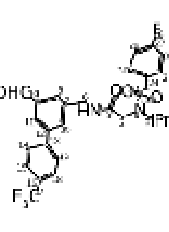 CC(C)N(CC(=O)NCc1cc(C=O)cc(-c2ccc(C(F)(F)F)cc2)c1)S(=O)(=O)c1ccc(F)cc1